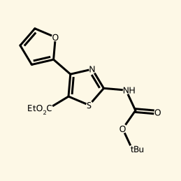 CCOC(=O)c1sc(NC(=O)OC(C)(C)C)nc1-c1ccco1